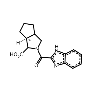 O=C(O)C1[C@H]2CCCC2CN1C(=O)c1nc2ccccc2[nH]1